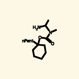 CCCCCC1(OC(=O)N(C)C(C)N)CCCCC1